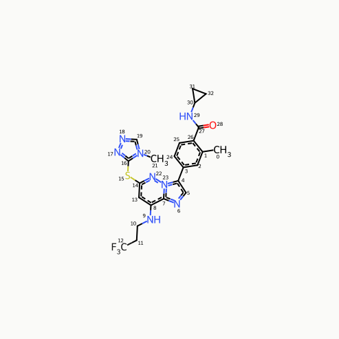 Cc1cc(-c2cnc3c(NCCC(F)(F)F)cc(Sc4nncn4C)nn23)ccc1C(=O)NC1CC1